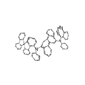 c1ccc(N(c2cccc3c2-c2ccccc2C32c3ccccc3-c3ccccc32)c2cc3c4ccccc4c(N(c4ccccc4)c4ncnc5ccccc45)cc3c3ccccc23)cc1